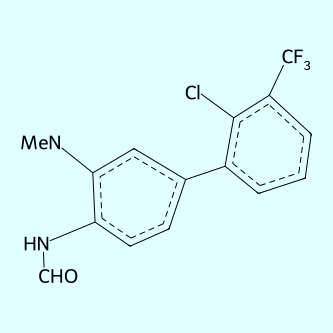 CNc1cc(-c2cccc(C(F)(F)F)c2Cl)ccc1NC=O